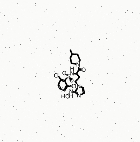 CC1CCN(C(=O)C(CCn2ccnc2NO)NS(=O)(=O)c2c(Cl)cccc2Cl)CC1